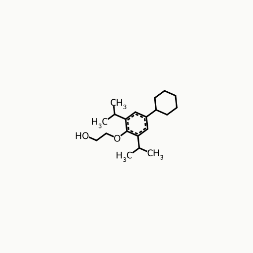 CC(C)c1cc(C2CCCCC2)cc(C(C)C)c1OCCO